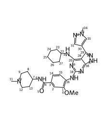 COc1cc(C(=O)NC2CCN(C)CC2)ccc1Nc1nc(NC2CCCCC2)c2c(-c3cnn(C)c3)n[nH]c2n1